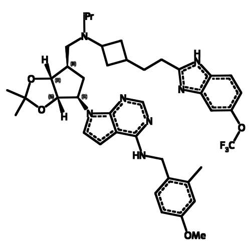 COc1ccc(CNc2ncnc3c2ccn3[C@@H]2C[C@H](CN(C(C)C)C3CC(CCc4nc5cc(OC(F)(F)F)ccc5[nH]4)C3)[C@H]3OC(C)(C)O[C@H]32)c(C)c1